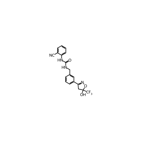 N#Cc1ccccc1NC(=O)NCc1cccc(C2=NOC(O)(C(F)(F)F)C2)c1